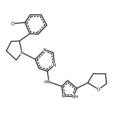 Clc1ccccc1C1CCCN1c1cc(Nc2cc(C3CCCO3)[nH]n2)ncn1